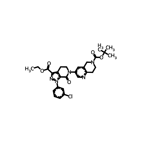 CCOC(=O)c1nn(-c2cccc(Cl)c2)c2c1CCN(c1cnc3c(c1)CN(C(=O)OC(C)(C)C)CC3)C2=O